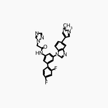 Cn1cc(-c2ccc3c(c2)ncn3-c2cc(NC(=O)Cn3cncn3)cc(-c3ccc(F)cc3F)c2)cn1